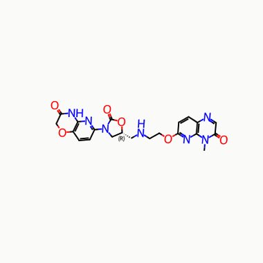 Cn1c(=O)cnc2ccc(OCCNC[C@@H]3CN(c4ccc5c(n4)NC(=O)CO5)C(=O)O3)nc21